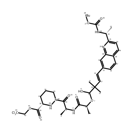 C[C@H](NC(=O)[C@H](C)OC(O)C(C)(C)/C=C/c1ccc2ccc([C@@H](C)NC(=O)OC(C)(C)C)nc2c1)C(=O)N1CCC[C@@H](C(=O)OCC(Cl)(Cl)Cl)N1